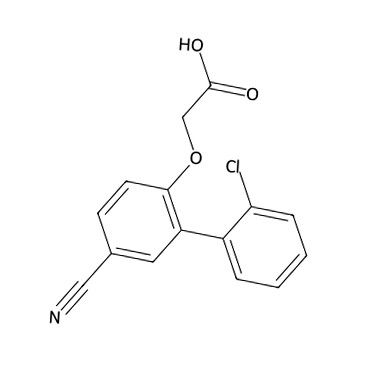 N#Cc1ccc(OCC(=O)O)c(-c2ccccc2Cl)c1